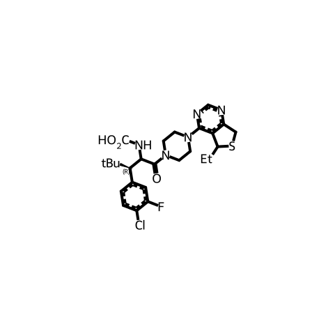 CCC1SCc2ncnc(N3CCN(C(=O)C(NC(=O)O)[C@@H](c4ccc(Cl)c(F)c4)C(C)(C)C)CC3)c21